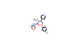 CN(C(=O)N[C@@H]1COCC1(F)F)[C@H](COc1ccc(Cl)cc1)c1ccncc1